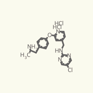 CC(N)Cc1ccc(Oc2cc(CNc3ncc(Cl)cn3)ccn2)cc1.Cl.Cl